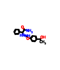 CC(O)c1ccc(ONNC(C(N)=O)c2ccccc2)cc1